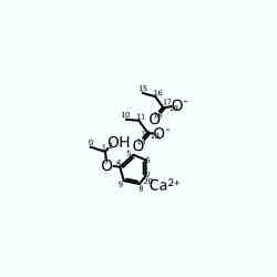 CC(O)Oc1ccccc1.CCC(=O)[O-].CCC(=O)[O-].[Ca+2]